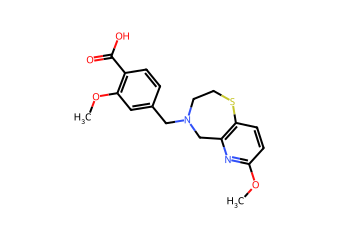 COc1ccc2c(n1)CN(Cc1ccc(C(=O)O)c(OC)c1)CCS2